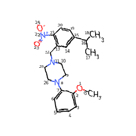 COc1ccccc1N1CCN(Cc2cc(C(C)C)ccc2[N+](=O)[O-])CC1